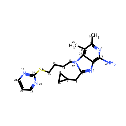 Cc1nc(N)c2nc(CC3CC3)n(CCCCSc3ncccn3)c2c1C